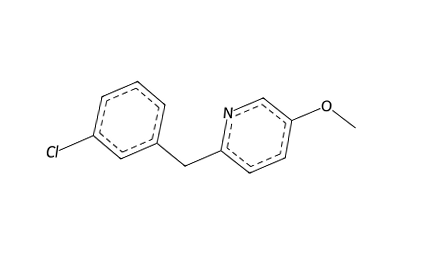 COc1ccc(Cc2cccc(Cl)c2)nc1